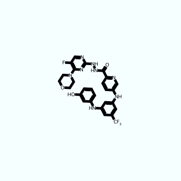 O=C(NNc1ncc(F)c(N2CCOCC2)n1)c1ccc(Nc2cc(Nc3cccc(O)c3)cc(C(F)(F)F)c2)cn1